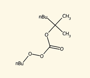 CCCCOOC(=O)OC(C)(C)CCCC